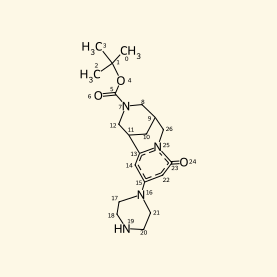 CC(C)(C)OC(=O)N1CC2CC(C1)c1cc(N3CCNCC3)cc(=O)n1C2